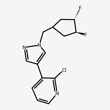 F[C@H]1CC(Cn2cc(-c3cccnc3Cl)cn2)C[C@@H]1F